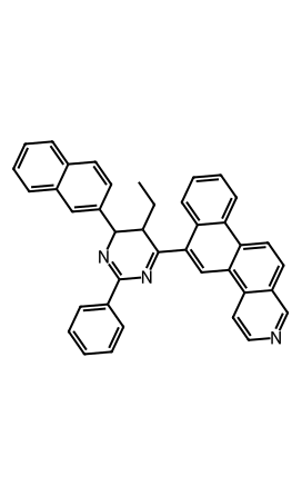 CCC1C(c2cc3c4ccncc4ccc3c3ccccc23)=NC(c2ccccc2)=NC1c1ccc2ccccc2c1